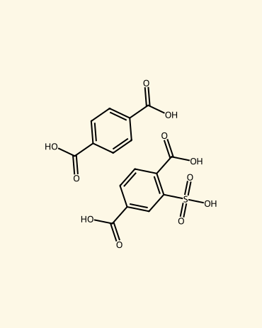 O=C(O)c1ccc(C(=O)O)c(S(=O)(=O)O)c1.O=C(O)c1ccc(C(=O)O)cc1